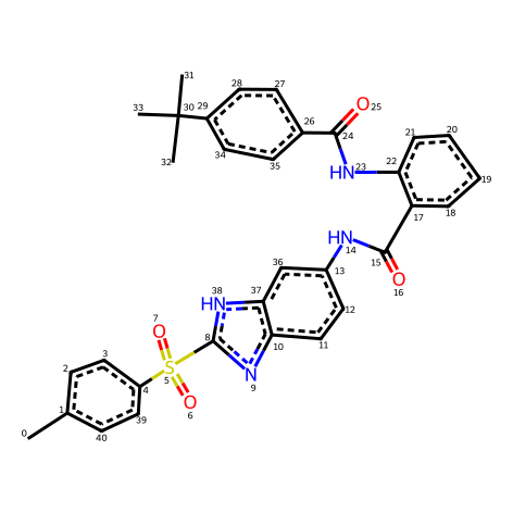 Cc1ccc(S(=O)(=O)c2nc3ccc(NC(=O)c4ccccc4NC(=O)c4ccc(C(C)(C)C)cc4)cc3[nH]2)cc1